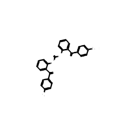 Nc1ccc(C(=O)c2ccccc2OC(=O)Oc2ccccc2C(=O)c2ccc(N)cc2)cc1